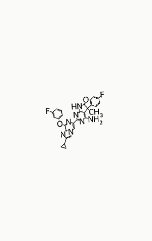 CC1(c2ccc(F)cc2)C(=O)Nc2nc(-c3cn4cc(C5CC5)nc4c(Oc4cccc(F)c4)n3)nc(N)c21